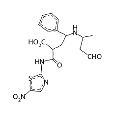 CC(CC=O)NC(CC(C(=O)O)C(=O)Nc1ncc([N+](=O)[O-])s1)c1ccccc1